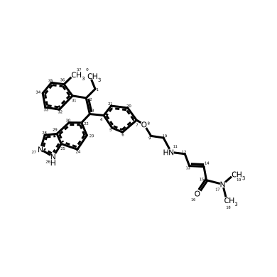 CCC(=C(c1ccc(OCCNCC=CC(=O)N(C)C)cc1)c1ccc2[nH]ncc2c1)c1ccccc1C